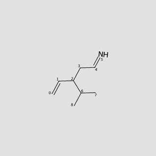 C=CC(CC=N)C(C)C